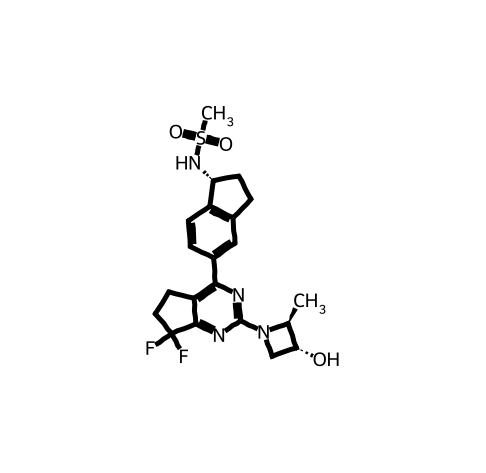 C[C@H]1[C@H](O)CN1c1nc(-c2ccc3c(c2)CC[C@H]3NS(C)(=O)=O)c2c(n1)C(F)(F)CC2